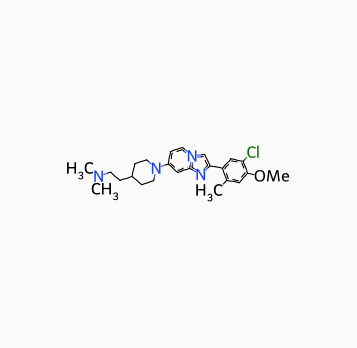 COc1cc(C)c(-c2cn3ccc(N4CCC(CCN(C)C)CC4)cc3n2)cc1Cl